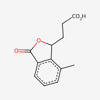 Cc1cccc2c1C(CCC(=O)O)OC2=O